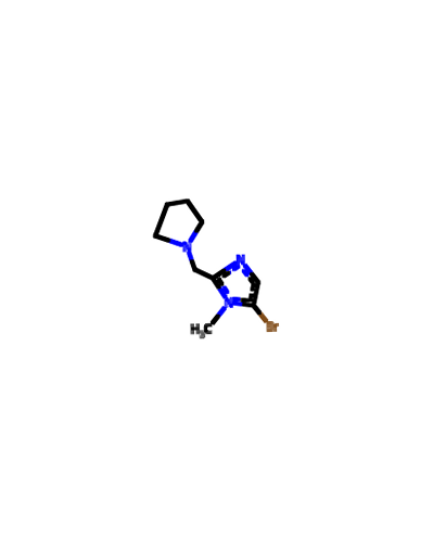 Cn1c(Br)cnc1CN1CCCC1